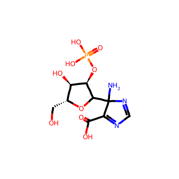 NC1(C2O[C@H](CO)[C@@H](O)[C@H]2OP(=O)(O)O)N=CN=C1C(=O)O